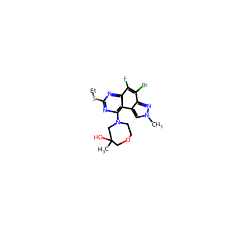 CCSc1nc(N2CCOCC(C)(O)C2)c2c(n1)c(F)c(Br)c1nn(C)cc12